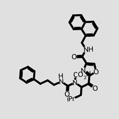 CC(C)CC(C(=O)c1nc(C(=O)NCc2cccc3ccccc23)co1)N(C(=O)O)C(=O)NCCCc1ccccc1